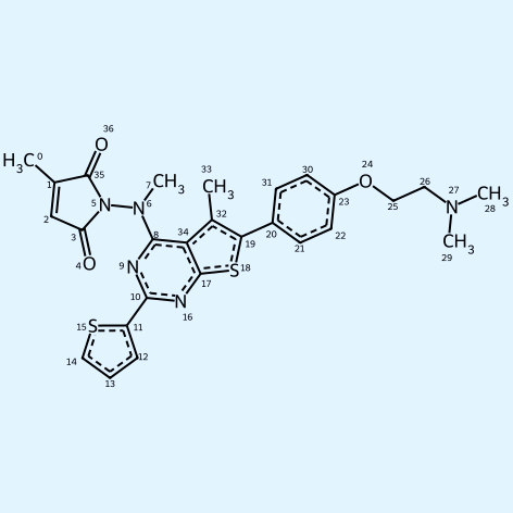 CC1=CC(=O)N(N(C)c2nc(-c3cccs3)nc3sc(-c4ccc(OCCN(C)C)cc4)c(C)c23)C1=O